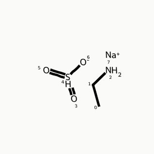 CCN.O=[SH](=O)[O-].[Na+]